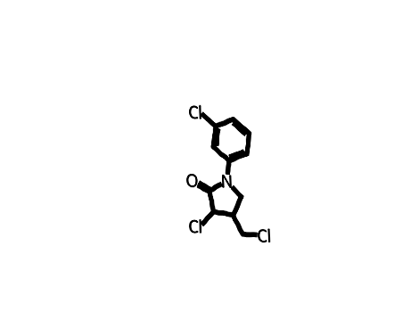 O=C1C(Cl)C(CCl)CN1c1cccc(Cl)c1